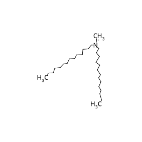 C[CH]N(CCCCCCCCCCCCCC)CCCCCCCCCCCCCC